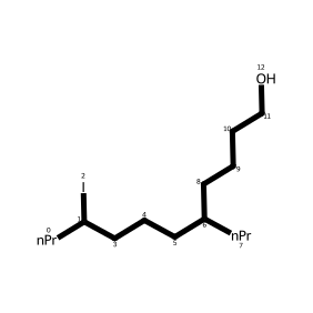 CCCC(I)CCCC(CCC)CCCCO